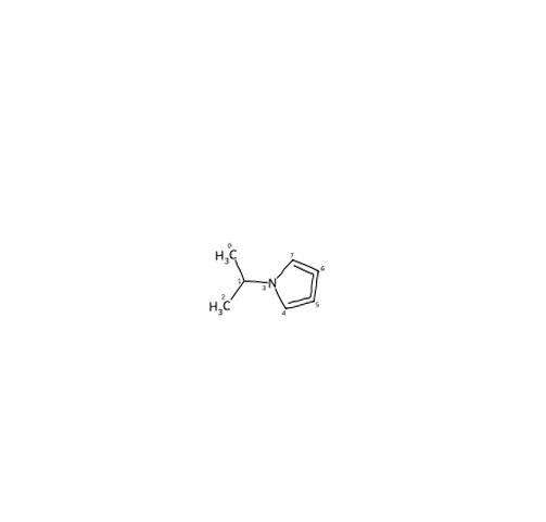 CC(C)N1C=C=C=C1